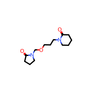 O=C1CCCCN1CCCOCN1CCCC1=O